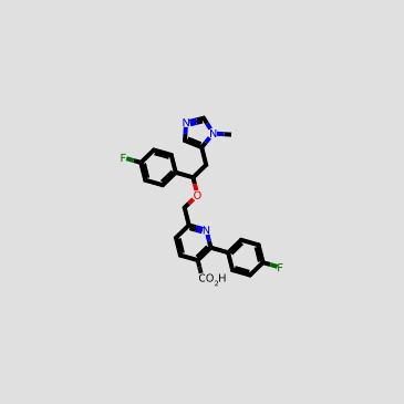 Cn1cncc1CC(OCc1ccc(C(=O)O)c(-c2ccc(F)cc2)n1)c1ccc(F)cc1